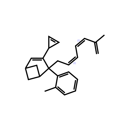 C=C(C)/C=C\C=C/CC1(c2ccccc2C)C(C2C=C2)=CC2CC1C2